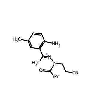 C/C(=N\N(CCC#N)C(=O)C(C)C)c1cc(C)ccc1N